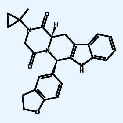 CC1(N2CC(=O)N3[C@H](c4ccc5c(c4)CCO5)c4[nH]c5ccccc5c4C[C@@H]3C2=O)CC1